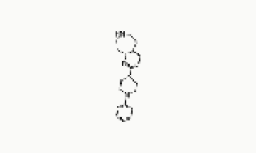 c1ccc(N2CCN(c3ccc4c(n3)CCNCC4)CC2)cc1